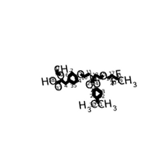 CCOC(Cc1ccc(OCCN(CCOCCC(C)(F)F)C(=O)Oc2ccc(C(C)C)cc2)cc1)C(=O)O